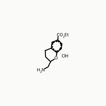 CCOC(=O)c1ccc2c(c1)CCC(CN)O2.Cl